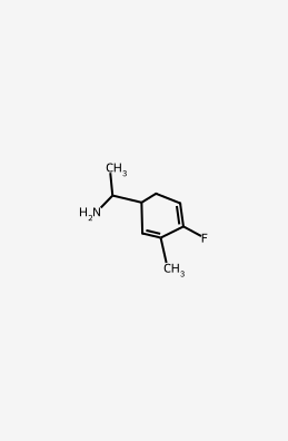 CC1=CC(C(C)N)CC=C1F